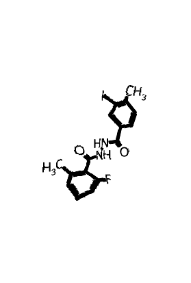 Cc1ccc(C(=O)NNC(=O)c2c(C)cccc2F)cc1I